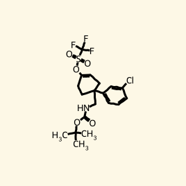 CC(C)(C)OC(=O)NCC1(c2cccc(Cl)c2)CC=C(OS(=O)(=O)C(F)(F)F)CC1